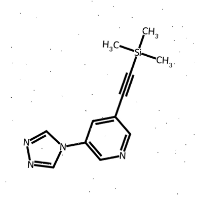 C[Si](C)(C)C#Cc1cncc(-n2cnnc2)c1